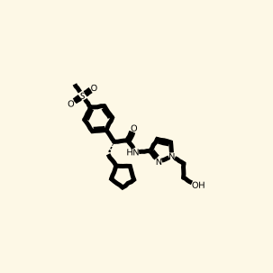 CS(=O)(=O)c1ccc([C@@H](CC2CCCC2)C(=O)Nc2ccn(CCO)n2)cc1